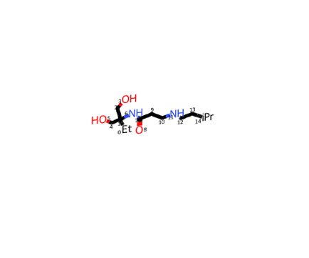 CCC(CO)(CO)NC(=O)CCNCCC(C)C